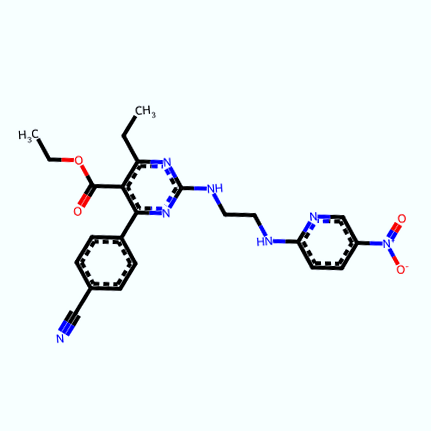 CCOC(=O)c1c(CC)nc(NCCNc2ccc([N+](=O)[O-])cn2)nc1-c1ccc(C#N)cc1